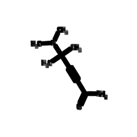 CN(C)C(C)(C)C#CC(N)=O